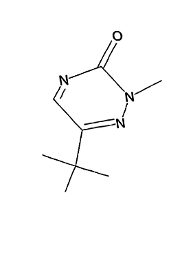 Cn1nc(C(C)(C)C)cnc1=O